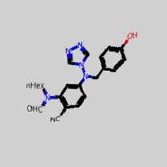 CCCCCCN(C=O)c1cc(N(Cc2ccc(O)cc2)n2cnnc2)ccc1C#N